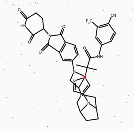 CC(C)(C(=O)Nc1ccc(C#N)c(C(F)(F)F)c1)n1cc(N2C3CCC2CN(C2CN(c4ccc5c(c4)C(=O)N(C4CCC(=O)NC4=O)C5=O)C2)C3)cn1